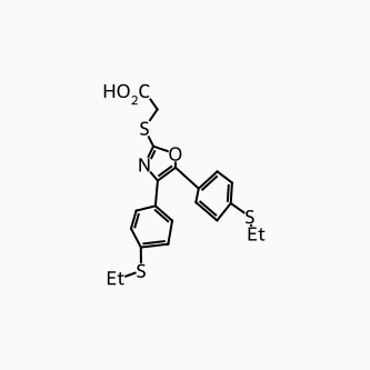 CCSc1ccc(-c2nc(SCC(=O)O)oc2-c2ccc(SCC)cc2)cc1